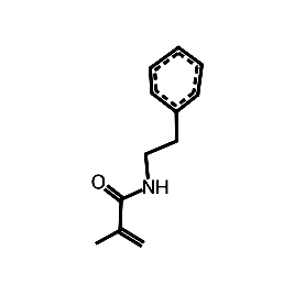 C=C(C)C(=O)NCCc1ccccc1